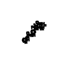 CCNc1nc(-c2ccc(NC(=O)NCc3cccnc3)cc2)c(F)c(C)c1C(N)=O